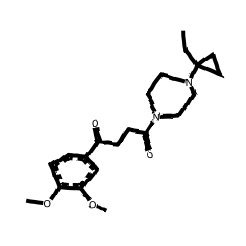 CCC1(N2CCN(C(=O)CCC(=O)c3ccc(OC)c(OC)c3)CC2)CC1